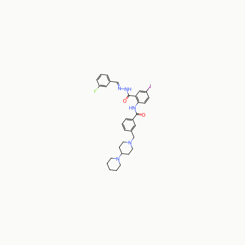 O=C(Nc1ccc(I)cc1C(=O)N/N=C/c1cccc(F)c1)c1cccc(CN2CCC(N3CCCCC3)CC2)c1